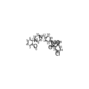 COc1ccccc1N1CCN(Cc2ccc(N[S+]([O-])c3cc(Cl)ccc3OC)cc2)CC1